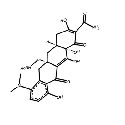 CC(=O)NC[C@@]12Cc3c(N(C)C)ccc(O)c3C(=O)C1=C(O)[C@]1(O)C(=O)C(C(N)=O)=C(O)C[C@@H]1C2